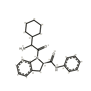 NC(C(=O)N1c2ncccc2C[C@@H]1C(=O)Nc1ccccc1)C1CCCCC1